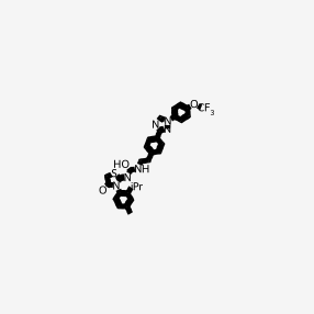 Cc1ccc(N2C(=O)CS/C2=N\C(O)NCCc2ccc(-c3ncn(-c4ccc(OC(F)(F)F)cc4)n3)cc2)c(C(C)C)c1